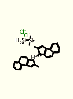 CC1=Cc2c(ccc3ccccc23)[CH]1[Hf+2][CH]1C(C)=Cc2c1ccc1ccccc21.C[SiH2][Si](C)(C)C.[Cl-].[Cl-]